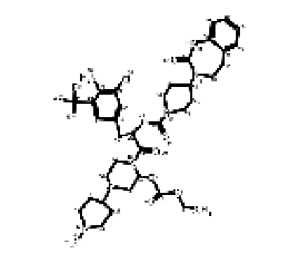 CCOC(=O)O[C@H]1CN(C2CCN(C)CC2)CCN1C(=O)[C@@H](Cc1cc(Cl)c(N)c(C(F)(F)F)c1)OC(=O)N1CCC(N2CCc3ccccc3NC2=O)CC1